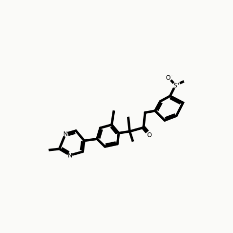 Cc1ncc(-c2ccc(C(C)(C)C(=O)Cc3cccc([S+](C)[O-])c3)c(C)c2)cn1